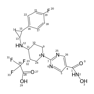 O=C(NO)c1cnc(N2CCC(NC3CC3c3ccc(F)cc3)CC2)nc1.O=C(O)C(F)(F)F